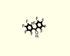 OC(c1c(F)c(F)c(F)c(F)c1F)c1c(F)c(F)c(F)c(F)c1F